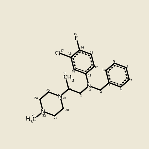 CC(CN(Cc1ccccc1)c1ccc(F)c(Cl)c1)N1CCN(C)CC1